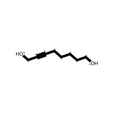 OCC#CCCCCCO